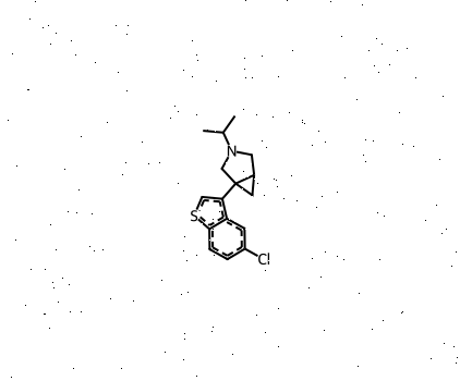 CC(C)N1CC2CC2(c2csc3ccc(Cl)cc23)C1